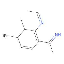 C/C=N\C1=C(C(C)=N)C=CC(C(C)C)C1C